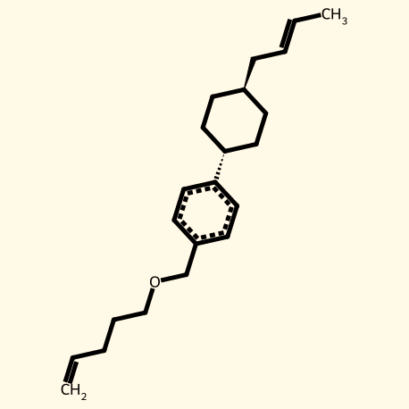 C=CCCCOCc1ccc([C@H]2CC[C@H](CC=CC)CC2)cc1